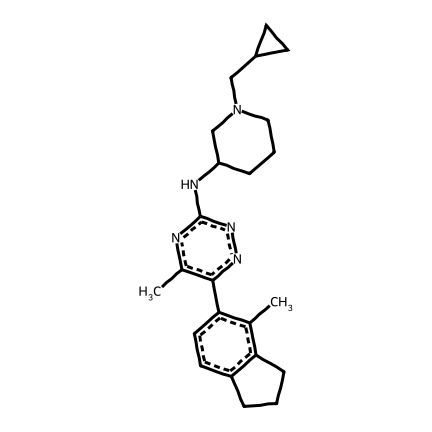 Cc1nc(NC2CCCN(CC3CC3)C2)nnc1-c1ccc2c(c1C)CCC2